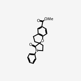 COC(=O)c1ccc2c(c1)CCC1(CCN(c3ccccc3)C1=O)O2